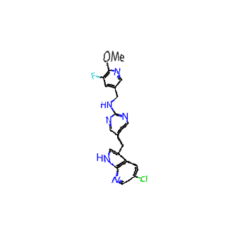 COc1ncc(CNc2ncc(Cc3c[nH]c4ncc(Cl)cc34)cn2)cc1F